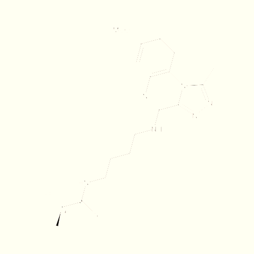 COc1ccc2c(c1)nc(NCCCCNC(=O)[C@@H](C)O)c1nnc(C)n12